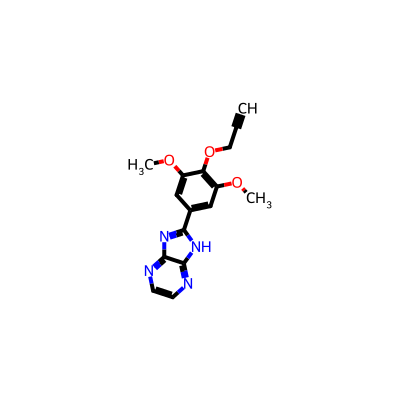 C#CCOc1c(OC)cc(-c2nc3nccnc3[nH]2)cc1OC